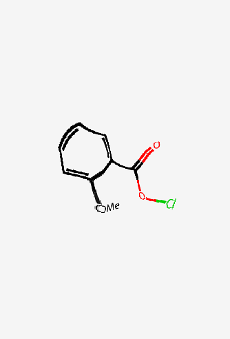 COc1ccccc1C(=O)OCl